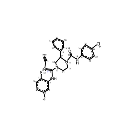 N#C/N=C(/Nc1cc(F)ccc1F)N1CCN(C(=O)Nc2ccc(Cl)cc2)C(c2ccccc2)C1